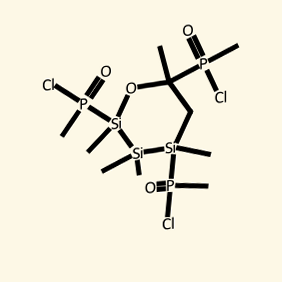 CC1(P(C)(=O)Cl)C[Si](C)(P(C)(=O)Cl)[Si](C)(C)[Si](C)(P(C)(=O)Cl)O1